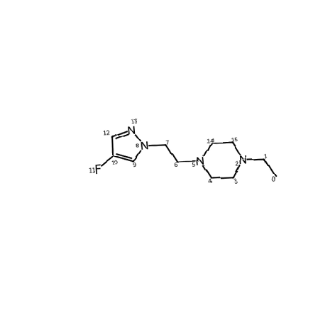 CCN1CCN(CCn2cc(F)cn2)CC1